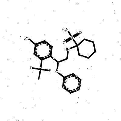 NS(=O)(=O)C1(NCC(Oc2ccccc2)c2ccc(Cl)cc2C(F)(F)F)CCCCC1